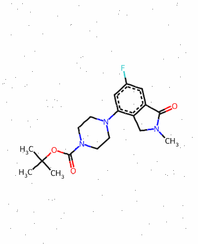 CN1Cc2c(cc(F)cc2N2CCN(C(=O)OC(C)(C)C)CC2)C1=O